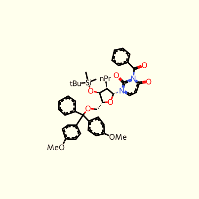 CCC[C@@H]1[C@H](O[Si](C)(C)C(C)(C)C)[C@@H](COC(c2ccccc2)(c2ccc(OC)cc2)c2ccc(OC)cc2)O[C@H]1n1ccc(=O)n(C(=O)c2ccccc2)c1=O